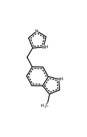 Cc1c[nH]c2cc(Cc3cnc[nH]3)ccc12